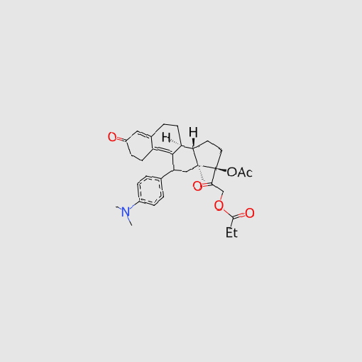 CCC(=O)OCC(=O)[C@@]1(OC(C)=O)CC[C@H]2[C@@H]3CCC4=CC(=O)CCC4=C3C(c3ccc(N(C)C)cc3)C[C@@]21C